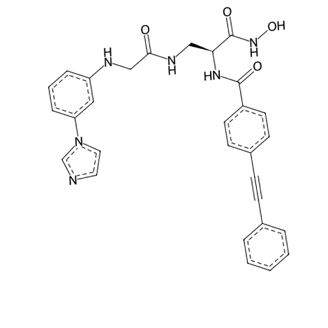 O=C(CNc1cccc(-n2ccnc2)c1)NC[C@H](NC(=O)c1ccc(C#Cc2ccccc2)cc1)C(=O)NO